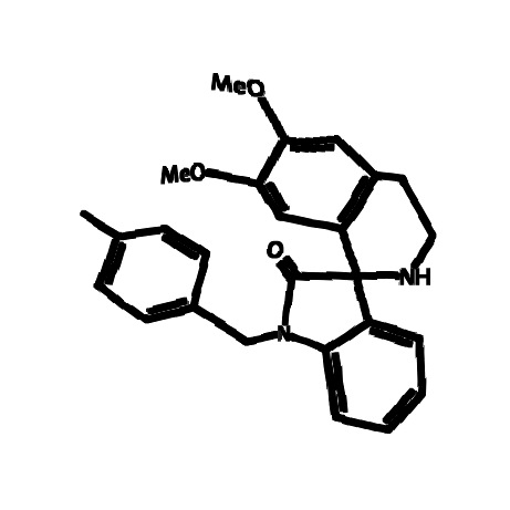 COc1cc2c(cc1OC)C1(NCC2)C(=O)N(Cc2ccc(C)cc2)c2ccccc21